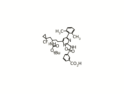 Cc1cccc(C)c1-c1cc(CCC(CC2(C(F)(F)F)CC2)NC(=O)OC(C)(C)C)nc(NS(=O)(=O)c2cccc(C(=O)O)c2)n1